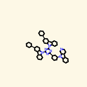 c1ccc(-c2ccc3c(c2)c2ccccc2n3-c2nc(-c3cccc(-n4c5ccccc5c5ccncc54)c3)nc(-n3c4ccccc4c4cc(-c5ccccc5)ccc43)n2)cc1